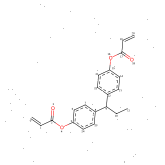 C=CC(=O)Oc1ccc(C(CC)c2ccc(OC(=O)C=C)cc2)cc1